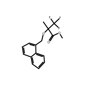 COC(=O)C(C)(OCc1cccc2ccccc12)C(F)(F)F